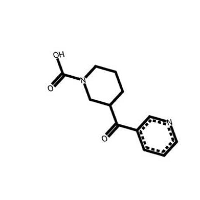 O=C(c1cccnc1)C1CCCN(C(=O)O)C1